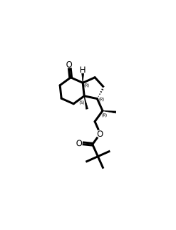 C[C@@H](COC(=O)C(C)(C)C)[C@H]1CC[C@H]2C(=O)CCC[C@@]12C